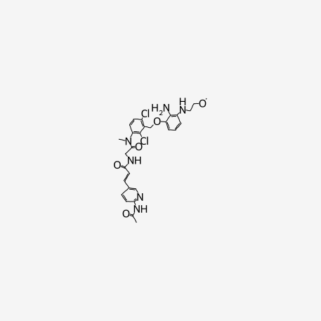 COCCNc1cccc(OCc2c(Cl)ccc(N(C)C(=O)CNC(=O)/C=C/c3ccc(NC(C)=O)nc3)c2Cl)c1N